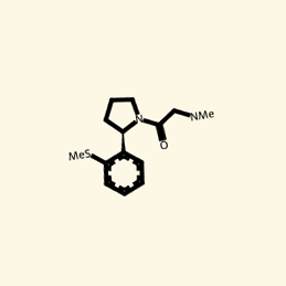 CNCC(=O)N1CCC[C@@H]1c1ccccc1SC